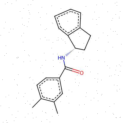 Cc1ccc(C(=O)N[C@H]2CCc3ccccc32)cc1C